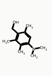 Cc1cc(N(C)C)c(C)c(C)c1CO